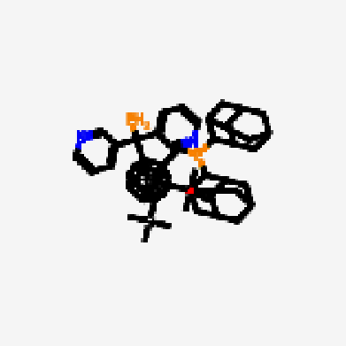 C[Si](C)(C)[C]12[CH]3[C]4(C(P)(c5cccnc5)c5cccnc5)[C]5(CP(C6C7CC8CC(C7)CC6C8)C6C7CC8CC(C7)CC6C8)[C]1([Si](C)(C)C)[Fe]35421678[CH]2[CH]1[CH]6[CH]7[CH]28